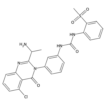 CC(N)c1nc2cccc(Cl)c2c(=O)n1-c1cccc(NC(=O)Nc2ccccc2S(C)(=O)=O)c1